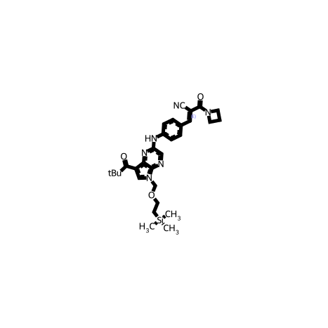 CC(C)(C)C(=O)c1cn(COCC[Si](C)(C)C)c2ncc(Nc3ccc(/C=C(\C#N)C(=O)N4CCC4)cc3)nc12